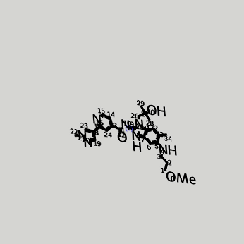 COCCCNc1cc2[nH]/c(=N\C(=O)c3ccnc(-c4cnn(C)c4)c3)n(CC(C)(C)O)c2cc1C